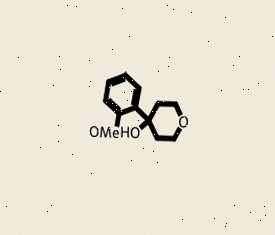 COc1cc[c]cc1C1(O)CCOCC1